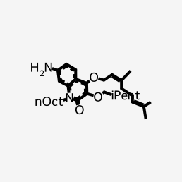 CCCCCCCCn1c(=O)c(OCC(C)CCC)c(OCC=C(C)CCC=C(C)C)c2ccc(N)cc21